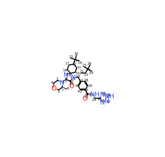 C[C@H]1COCCN1C1=NC2(CCC(C(C)(C)C)CC2)N([C@H](CCC(C)(C)C)c2ccc(C(=O)NCc3nn[nH]n3)cc2)C1=O